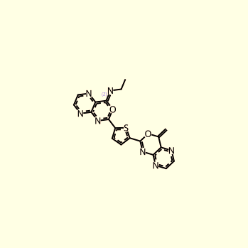 C=C1OC(c2ccc(-c3nc4nccnc4/c(=N/CC)o3)s2)=Nc2nccnc21